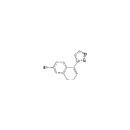 Brc1ccc2c(c1)CCC=C2n1ccnn1